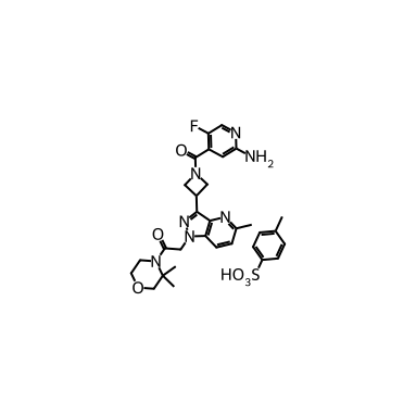 Cc1ccc(S(=O)(=O)O)cc1.Cc1ccc2c(n1)c(C1CN(C(=O)c3cc(N)ncc3F)C1)nn2CC(=O)N1CCOCC1(C)C